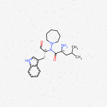 CC(C)C[C@H](N)C(=O)N([C@@H]([C]=O)Cc1c[nH]c2ccccc12)N1CCCCCC1